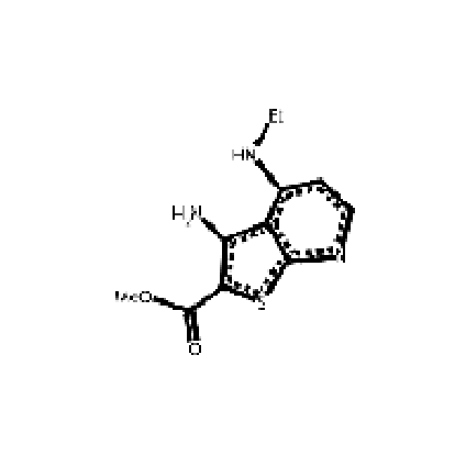 CCNc1ccnc2sc(C(=O)OC)c(N)c12